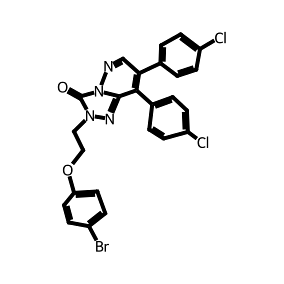 O=c1n(CCOc2ccc(Br)cc2)nc2c(-c3ccc(Cl)cc3)c(-c3ccc(Cl)cc3)cnn12